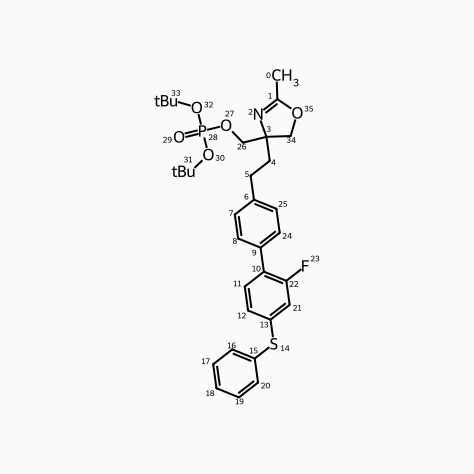 CC1=NC(CCc2ccc(-c3ccc(Sc4ccccc4)cc3F)cc2)(COP(=O)(OC(C)(C)C)OC(C)(C)C)CO1